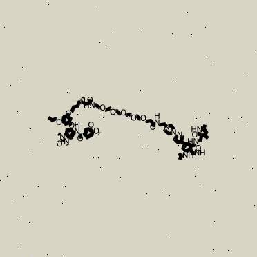 CCCOc1cc(OCCCCN(C)CC(=O)NCCOCCOCCOCCOCCOCCC(=O)NCCN2CCN(c3ccc(-c4cc(NC(C)C)c(C=N)c(C(=O)NCc5c(C)cc(C)[nH]c5=O)c4)cn3)CC2)cc(Oc2cc3c(cc2N[S+]([O-])c2ccc(OC)c(OC)c2)n(C)c(=O)n3C)c1